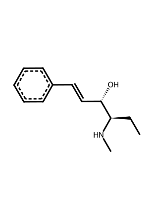 CC[C@@H](NC)[C@@H](O)/C=C/c1ccccc1